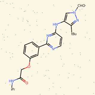 CC(C)NC(=O)COc1cccc(-c2nccc(Nc3cn([C]=O)nc3C(C)(C)C)n2)c1